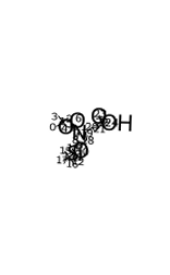 CC(C)(C)OC(=O)N1C[C@H](O[Si](C)(C)C(C)(C)C)C[C@@H]1CCC(=O)O